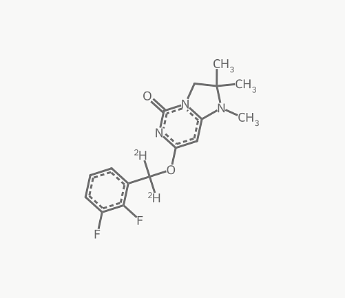 [2H]C([2H])(Oc1cc2n(c(=O)n1)CC(C)(C)N2C)c1cccc(F)c1F